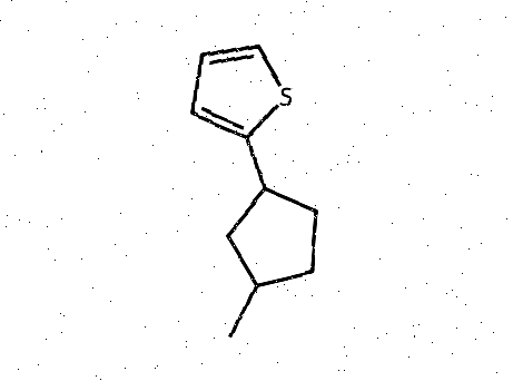 CC1CCC(c2cccs2)C1